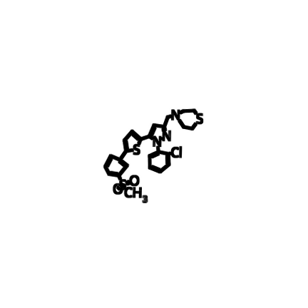 CS(=O)(=O)c1cccc(-c2ccc(-c3cc(CN4CCSCC4)nn3-c3ccccc3Cl)s2)c1